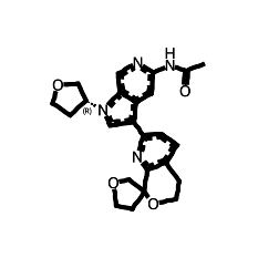 CC(=O)Nc1cc2c(-c3ccc4c(n3)C3(CCOC3)OCC4)cn([C@@H]3CCOC3)c2cn1